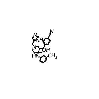 Cc1cccc(NC2(CO)CCN(Cc3cnc[nH]3)CC2Cc2ccc(C#N)cc2)c1